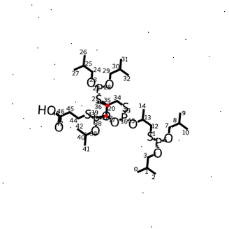 CC(C)COP(OCC(C)C)SCC(C)OP(OC(C)CSP(OCC(C)C)OCC(C)C)SCC(C)OP(OC(C)C)SCCC(=O)O